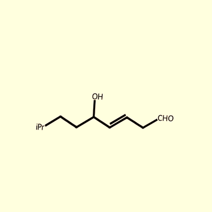 CC(C)CCC(O)C=CCC=O